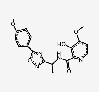 COc1ccc(-c2nc([C@H](C)NC(=O)c3nccc(OC)c3O)no2)cc1